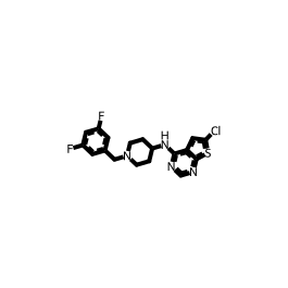 Fc1cc(F)cc(CN2CCC(Nc3ncnc4sc(Cl)cc34)CC2)c1